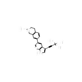 CN1CCc2ccc(-c3cnc4[nH]cc(C#CC(C)(C)O)c4c3)cc2C1